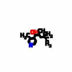 C=C(C)C/C(C)=C(/O)c1ccncc1C